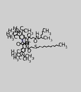 CCCCCCCCCCCCSCCC(=O)Nc1cc2c(cc1C1=C([O-])/C(=c3/cc4c(cc3NC(=O)CCC(=O)NCC(CC)CCCC)=[N+](C(C)C)C(C)C4(C)C)C1=O)C(C)(C)C(C)N2C(C)C